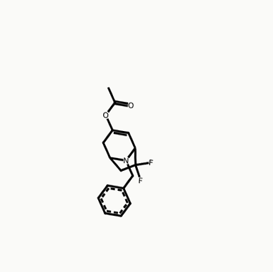 CC(=O)OC1=CC2N(Cc3ccccc3)C(C1)CC2(F)F